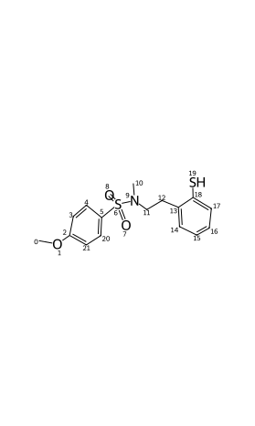 COc1ccc(S(=O)(=O)N(C)CCc2ccccc2S)cc1